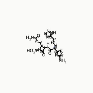 NC(=O)OCC1C(NC(=O)/C(=N\OCc2nnn[nH]2)c2csc(N)n2)C(=O)N1S(=O)(=O)O